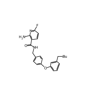 CCC(C)Cc1cccc(Oc2ccc(CNC(=O)c3ccc(F)nc3N)cc2)c1